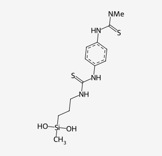 CNC(=S)Nc1ccc(NC(=S)NCCC[Si](C)(O)O)cc1